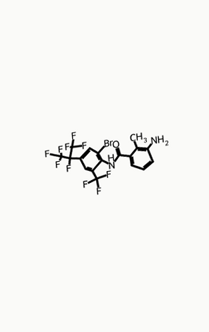 Cc1c(N)cccc1C(=O)Nc1c(Br)cc(C(F)(C(F)(F)F)C(F)(F)F)cc1C(F)(F)F